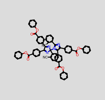 N#Cc1ccccc1-c1nc(-c2ccc(C(=O)Oc3ccccc3)cc2)c(-c2ccc(C(=O)Oc3ccccc3)cc2)n1C1(c2ccccc2C#N)N=C(c2ccc(C(=O)Oc3ccccc3)cc2)C(c2ccc(C(=O)Oc3ccccc3)cc2)=N1